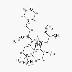 C=C[C@@H](C)CC(=O)[C@H]1[C@@H](C)CC[C@H]2C(C)(C)CCC(OC(=O)CCN3CCOCC3)[C@]12C.Cl